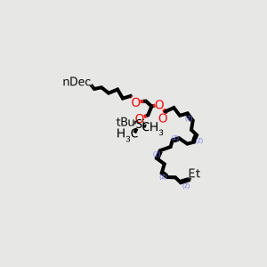 CC/C=C\C/C=C\C/C=C\C/C=C\C/C=C\C/C=C\CCC(=O)OC(COCCCCCCCCCCCCCCCC)CO[Si](C)(C)C(C)(C)C